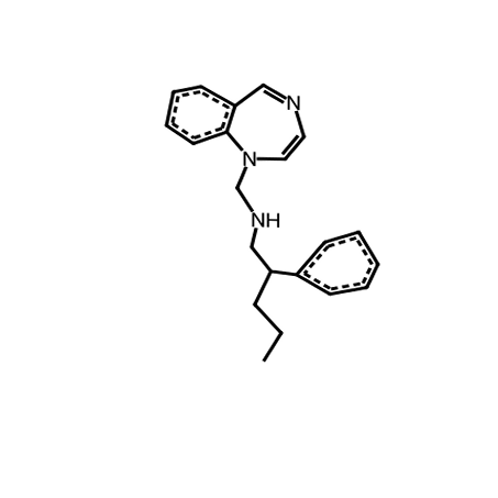 CCCC(CNCN1C=CN=Cc2ccccc21)c1ccccc1